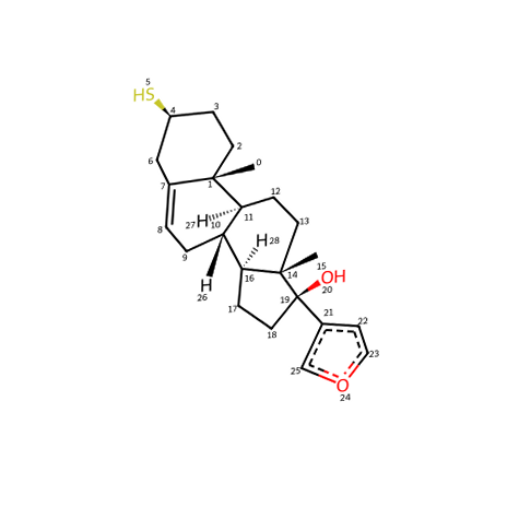 C[C@]12CC[C@H](S)CC1=CC[C@@H]1[C@@H]2CC[C@@]2(C)[C@H]1CC[C@@]2(O)c1ccoc1